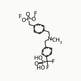 CN(Cc1ccc(CP(=O)(OF)OF)cc1)Cc1ccc(C(F)(F)P(=O)(O)O)cc1